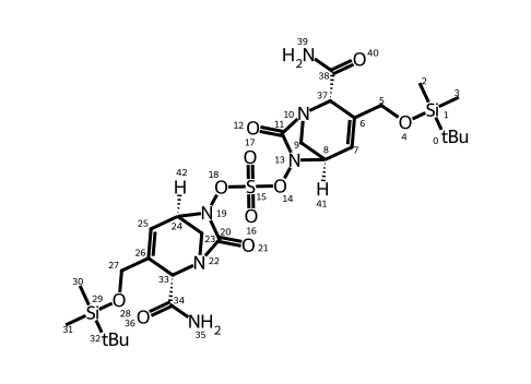 CC(C)(C)[Si](C)(C)OCC1=C[C@@H]2CN(C(=O)N2OS(=O)(=O)ON2C(=O)N3C[C@H]2C=C(CO[Si](C)(C)C(C)(C)C)[C@H]3C(N)=O)[C@@H]1C(N)=O